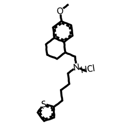 COc1ccc2c(c1)CCCC2CN(C)CCCCc1cccs1.Cl